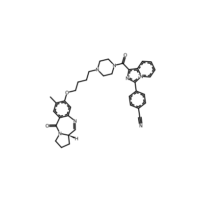 Cc1cc2c(cc1OCCCCN1CCN(C(=O)c3nc(-c4ccc(C#N)cc4)n4ccccc34)CC1)N=C[C@@H]1CCCN1C2=O